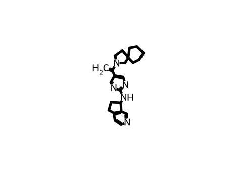 C=C(c1cnc(NC2CCc3ccncc32)nc1)N1CCC2(CCCCC2)C1